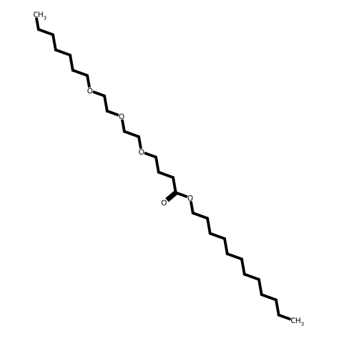 CCCCCCCCCCCCOC(=O)CCCOCCOCCOCCCCCCC